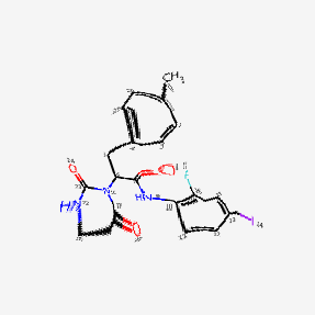 Cc1ccc(CC(C(=O)Nc2ccc(I)cc2F)N2C(=O)CNC2=O)cc1